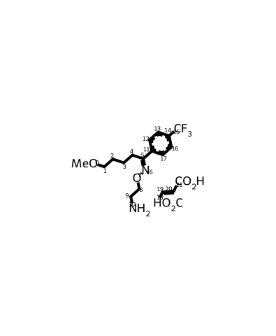 COCCCCC(=NOCCN)c1ccc(C(F)(F)F)cc1.O=C(O)C=CC(=O)O